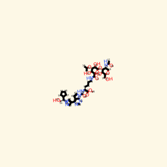 COC(=O)[C@H](CCCCNC(=O)C1OC(OC2C(O)C(CO)OC[C@H]2NC(C)=O)C(O)C(OC(C)C)C1O)NC(=O)n1ccc2c(-c3cnn([C@H](CO)C4CCCC4)c3)ncnc21